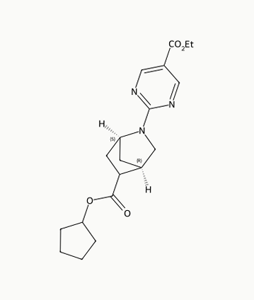 CCOC(=O)c1cnc(N2C[C@@H]3C[C@H]2CC3C(=O)OC2CCCC2)nc1